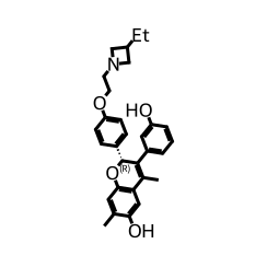 CCC1CN(CCOc2ccc([C@H]3Oc4cc(C)c(O)cc4C(C)=C3c3cccc(O)c3)cc2)C1